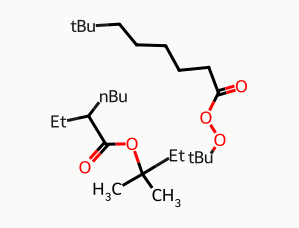 CC(C)(C)CCCCCC(=O)OOC(C)(C)C.CCCCC(CC)C(=O)OC(C)(C)CC